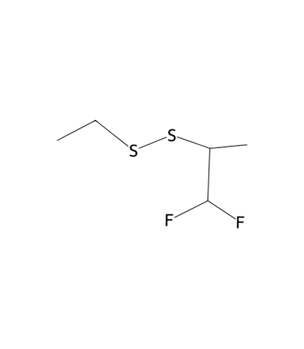 CCSSC(C)C(F)F